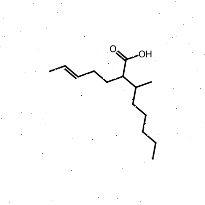 CC=CCCC(C(=O)O)C(C)CCCCC